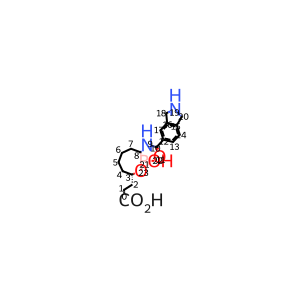 O=C(O)CC[C@@H]1CCCC[C@H](NC(=O)c2ccc3c(c2)CNC3)B(O)O1